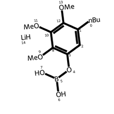 CCCCc1cc(OB(O)O)c(OC)c(OC)c1OC.[LiH]